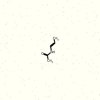 C/C=[C]/NC(C)=O